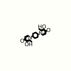 Cc1c(O)c(=O)ccn1[C@H]1CC[C@H](n2ccc(=O)c(O)c2C)CC1